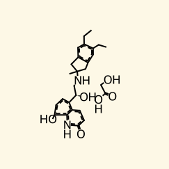 CCc1cc2c(cc1CC)CC(C)(NC[C@H](O)c1ccc(O)c3[nH]c(=O)ccc13)C2.O=C(O)CO